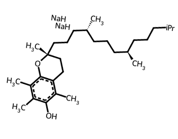 Cc1c(C)c2c(c(C)c1O)CC[C@@](C)(CCC[C@H](C)CCC[C@H](C)CCCC(C)C)O2.[NaH].[NaH]